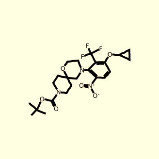 CC(C)(C)OC(=O)N1CCC2(CC1)CN(c1c([N+](=O)[O-])ccc(OC3CC3)c1C(F)(F)F)CCO2